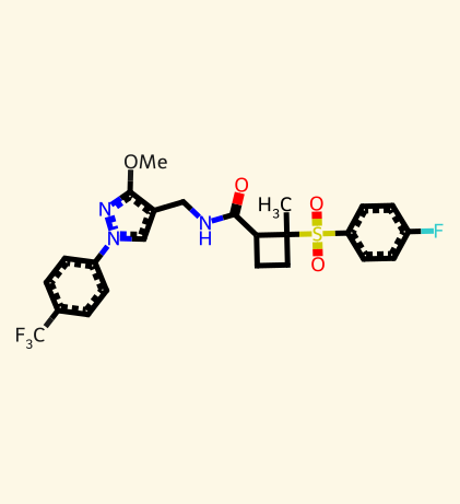 COc1nn(-c2ccc(C(F)(F)F)cc2)cc1CNC(=O)C1CCC1(C)S(=O)(=O)c1ccc(F)cc1